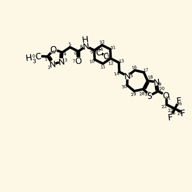 Cc1nnc(CC(=O)NC23CCC(CCN4CCc5nc(OCC(F)(F)F)sc5CC4)(CC2)CC3)o1